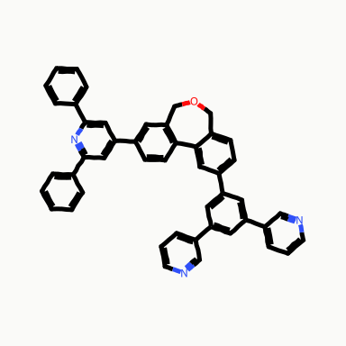 c1ccc(-c2cc(-c3ccc4c(c3)COCc3ccc(-c5cc(-c6cccnc6)cc(-c6cccnc6)c5)cc3-4)cc(-c3ccccc3)n2)cc1